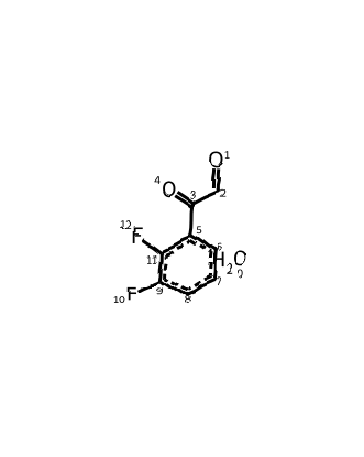 O.O=CC(=O)c1cccc(F)c1F